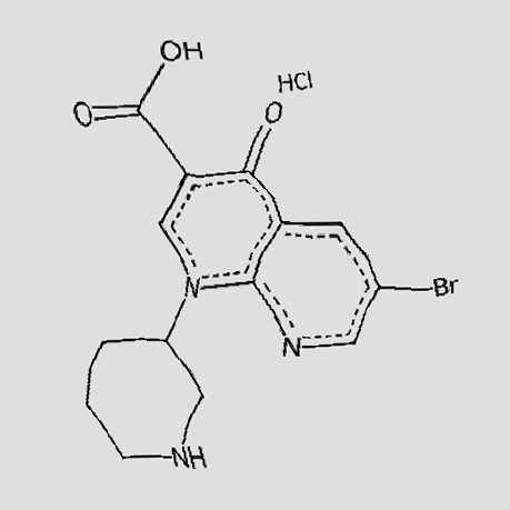 Cl.O=C(O)c1cn(C2CCCNC2)c2ncc(Br)cc2c1=O